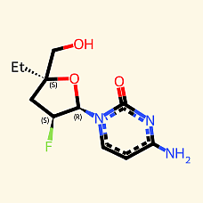 CC[C@@]1(CO)C[C@H](F)[C@H](n2ccc(N)nc2=O)O1